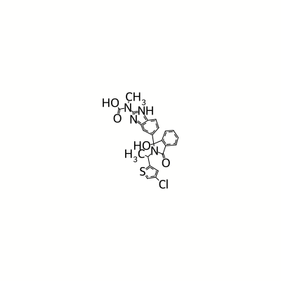 CC(c1cc(Cl)cs1)N1C(=O)c2ccccc2C1(O)c1ccc2[nH]c(N(C)C(=O)O)nc2c1